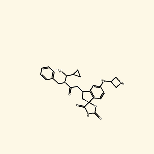 CC(C1CC1)N(Cc1ccccc1)C(=O)CC1C[C@]2(OC(=O)NC2=O)c2ccc(NC3CNC3)cc21